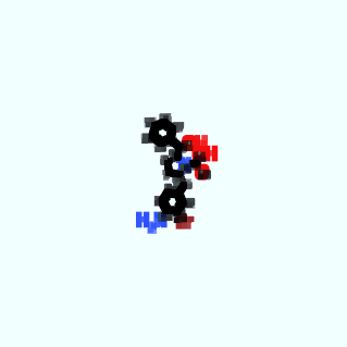 Nc1ccc(C[C@@H]2CC[C@H]([C@H](O)c3ccccc3)N2C(=O)O)cc1Br